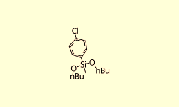 CCCCO[Si](C)(OCCCC)c1ccc(Cl)cc1